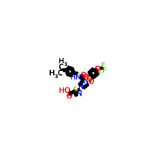 CC(C)c1ccc(CNC(=O)C2CN(c3ncc(C(=O)O)s3)CCN2S(=O)(=O)c2ccc(OC(F)(F)F)cc2)cc1